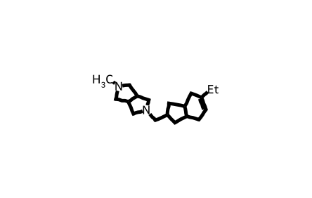 CCC1=CCC2CC(CN3CC4CN(C)CC4C3)CC2C1